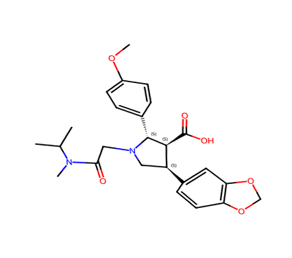 COc1ccc([C@@H]2[C@@H](C(=O)O)[C@@H](c3ccc4c(c3)OCO4)CN2CC(=O)N(C)C(C)C)cc1